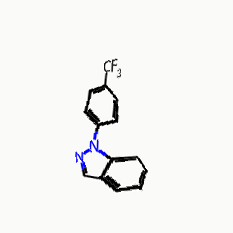 FC(F)(F)c1ccc(-n2ncc3ccccc32)cc1